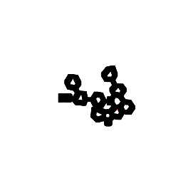 Oc1ccc(-c2ccc(N(c3cc(-c4ccccc4)ccc3-c3ccccc3)c3cccc4oc5ccccc5c34)cc2)cc1-c1ccccc1